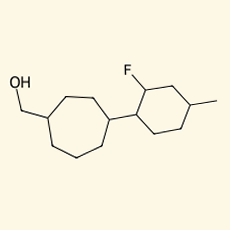 CC1CCC(C2CCCC(CO)CC2)C(F)C1